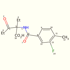 CCC(=O)C(CC)(NC(=O)c1ccc(C)c(F)c1)C(=O)O